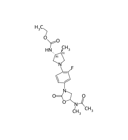 CCOC(=O)N[C@H]1CN(c2ccc(N3CC(N(C)C(C)=O)OC3=O)cc2F)C[C@@H]1C